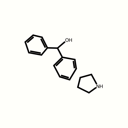 C1CCNC1.OC(c1ccccc1)c1ccccc1